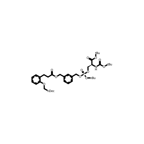 CCCCCCCCCCCOc1ccccc1CCC(=O)OCc1cccc(COP(=O)(OCCCC)OC[C@H](NC(=O)OC(C)(C)C)C(=O)OC(C)(C)C)c1